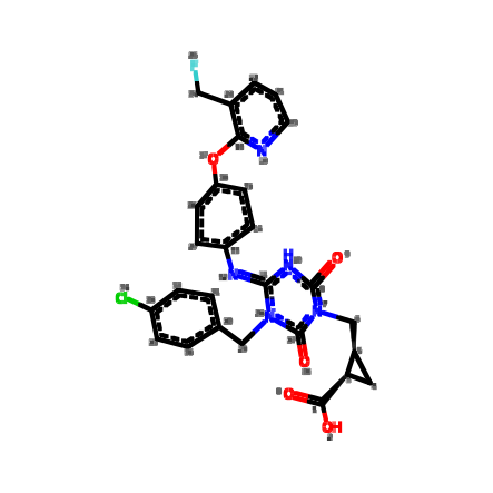 O=C(O)[C@@H]1C[C@@H]1Cn1c(=O)[nH]c(=Nc2ccc(Oc3ncccc3CF)cc2)n(Cc2ccc(Cl)cc2)c1=O